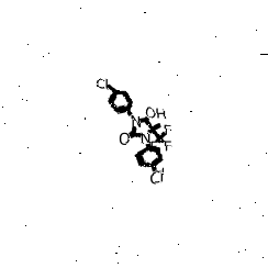 CC1(C(F)(F)F)C(O)N(c2ccc(Cl)cc2)C(=O)N1c1ccc(Cl)cc1